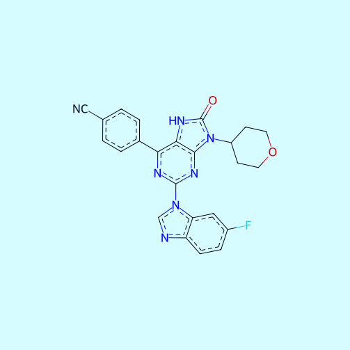 N#Cc1ccc(-c2nc(-n3cnc4ccc(F)cc43)nc3c2[nH]c(=O)n3C2CCOCC2)cc1